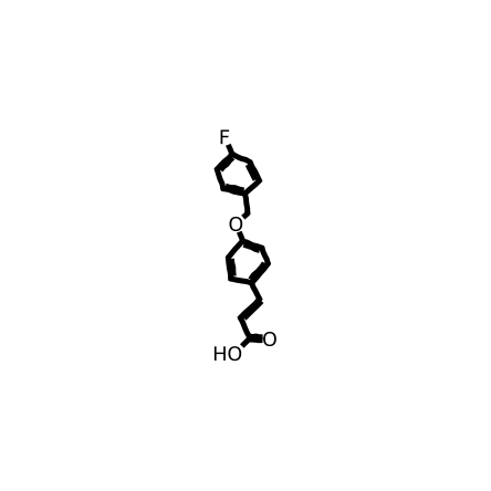 O=C(O)C=Cc1ccc(OCc2ccc(F)cc2)cc1